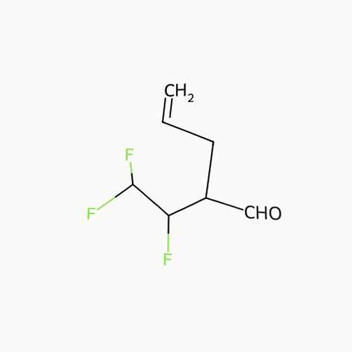 C=CCC(C=O)C(F)C(F)F